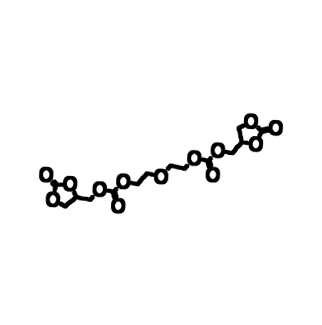 O=C(OCCOCCOC(=O)OCC1COC(=O)O1)OCC1COC(=O)O1